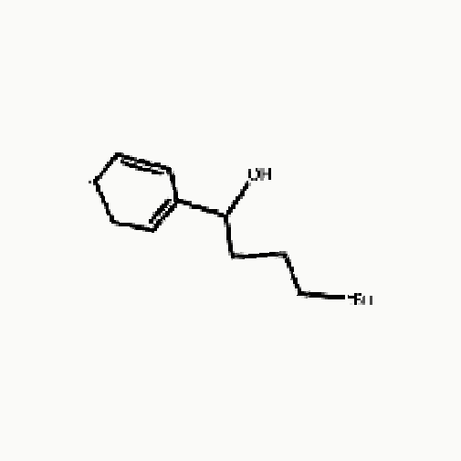 CC(C)(C)CCCC(O)C1=CC[CH]C=C1